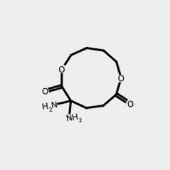 NC1(N)CCC(=O)OCCCCOC1=O